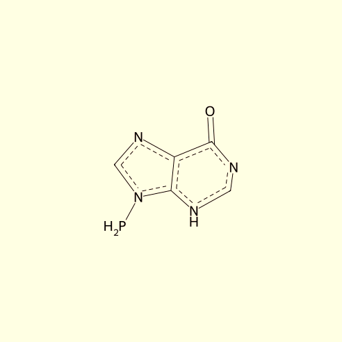 O=c1nc[nH]c2c1ncn2P